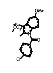 CC(=O)O.CCCc1c(C)n(C(=O)c2ccc(Cl)cc2)c2ccc(OC)cc12